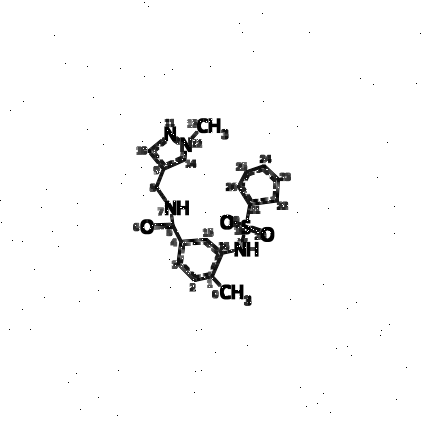 Cc1ccc(C(=O)NCc2cnn(C)c2)cc1NS(=O)(=O)c1ccccc1